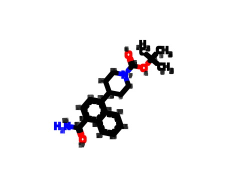 CC(C)(C)OC(=O)N1CCC(c2ccc(C(N)=O)c3ccccc23)CC1